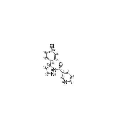 O=C(c1cccnc1)N1N=CCC1c1ccc(Cl)cc1